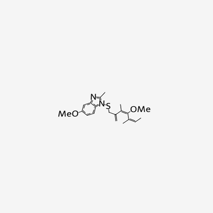 C=C(CSn1c(C)nc2cc(OC)ccc21)/C(C)=C(OC)\C(C)=C/C